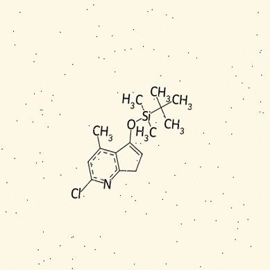 Cc1cc(Cl)nc2c1C(O[Si](C)(C)C(C)(C)C)=CC2